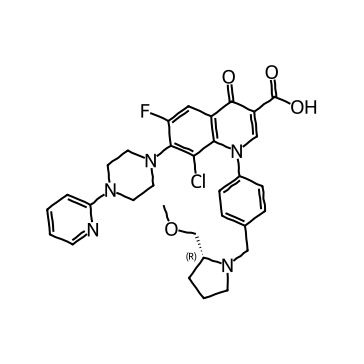 COC[C@H]1CCCN1Cc1ccc(-n2cc(C(=O)O)c(=O)c3cc(F)c(N4CCN(c5ccccn5)CC4)c(Cl)c32)cc1